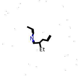 C=CCC(/C=N\C=C/C)CC